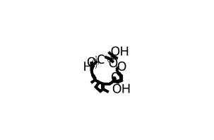 CC1=CC[C@@H]2O[C@@]2(C)CC[C@@H](C(C)(C)O)OC(=O)c2ccc(O)c(c2)CC2=C(C)CCC12